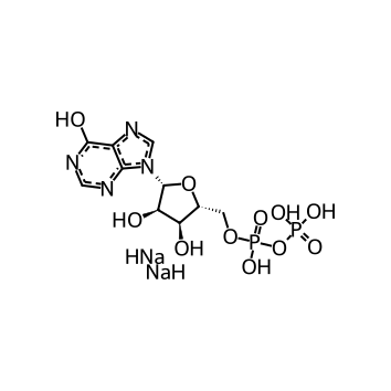 O=P(O)(O)OP(=O)(O)OC[C@H]1O[C@@H](n2cnc3c(O)ncnc32)[C@H](O)[C@@H]1O.[NaH].[NaH]